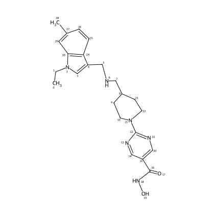 CCn1cc(CNCC2CCN(c3ncc(C(=O)NO)cn3)CC2)c2ccc(C)cc21